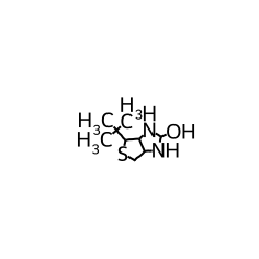 CC(C)(C)C1SCC2NC(O)NC21